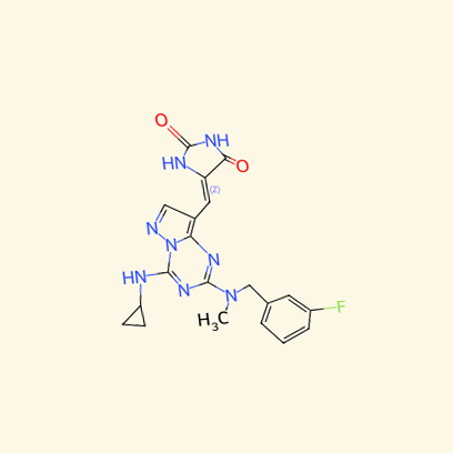 CN(Cc1cccc(F)c1)c1nc(NC2CC2)n2ncc(/C=C3\NC(=O)NC3=O)c2n1